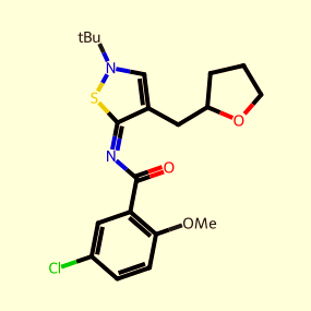 COc1ccc(Cl)cc1C(=O)N=c1sn(C(C)(C)C)cc1CC1CCCO1